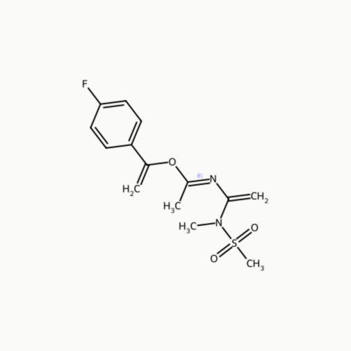 C=C(O/C(C)=N/C(=C)N(C)S(C)(=O)=O)c1ccc(F)cc1